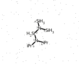 CC(C)N([SiH2]N([SiH3])[SiH3])C(C)C